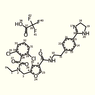 CCN(Cc1cc(C(=O)NCCc2ccc(C3=NCCN3)cc2)co1)S(=O)(=O)c1c(Cl)cccc1Cl.O=C(O)C(F)(F)F